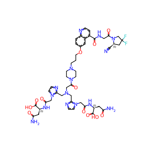 N#C[C@@H]1CC(F)(F)CN1C(=O)CNC(=O)c1ccnc2ccc(OCCCN3CCN(C(=O)CN(Cc4nccn4CC(=O)N[C@@H](CC(N)=O)C(=O)O)Cc4nccn4CC(=O)N[C@@H](CC(N)=O)C(=O)O)CC3)cc12